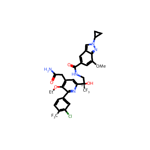 CCOc1c(CC(N)=O)cc([C@@](O)(CNC(=O)c2cc(OC)c3nn(C4CC4)cc3c2)C(F)(F)F)nc1-c1ccc(C(F)(F)F)c(Cl)c1